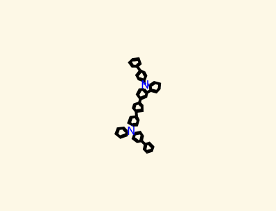 C1=c2c(n(-c3ccc(-c4ccccc4)cc3)c3ccc(-c4ccc(-c5ccc(N(c6ccccc6)c6ccc(-c7ccccc7)cc6)cc5)cc4)cc23)=CCC1